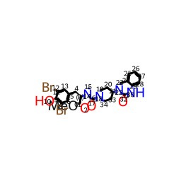 COC(=O)[C@@H](Cc1cc(Br)c(O)c(Br)c1)N(C)C(=O)N1CCC(N2Cc3ccccc3NC2=O)CC1